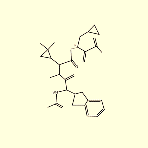 C=C(C)NC(C(=C)C(C)C(C(=O)C[C@H](CC1CC1)C(=C)C(=C)C)C1CC1(C)C)C1Cc2ccccc2C1